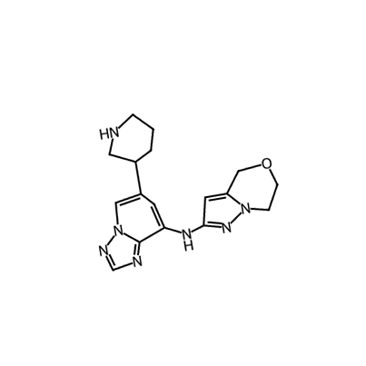 c1nc2c(Nc3cc4n(n3)CCOC4)cc(C3CCCNC3)cn2n1